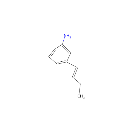 CC/C=C/c1cccc(N)c1